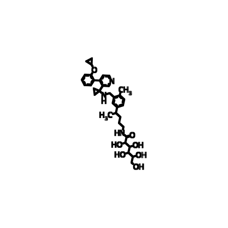 Cc1ccc(C(C)CCCNC(=O)C(O)C(O)C(O)C(O)CO)cc1CNC1(c2cnccc2-c2ccccc2OC2CC2)CC1